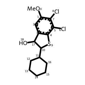 COc1cc2c(c(Cl)c1Cl)SC(C1CCCCC1)C2O